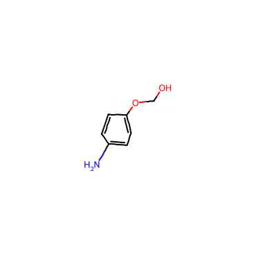 Nc1ccc(OCO)cc1